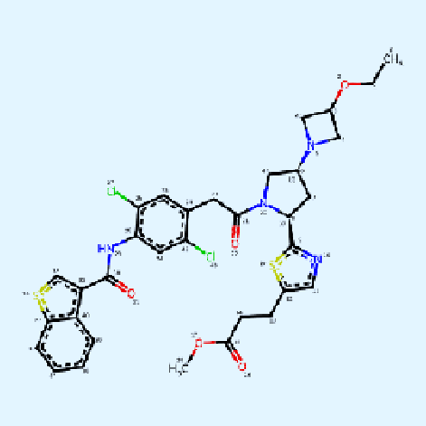 CCOC1CN([C@H]2C[C@@H](c3ncc(CCC(=O)OC)s3)N(C(=O)Cc3cc(Cl)c(NC(=O)c4csc5ccccc45)cc3Cl)C2)C1